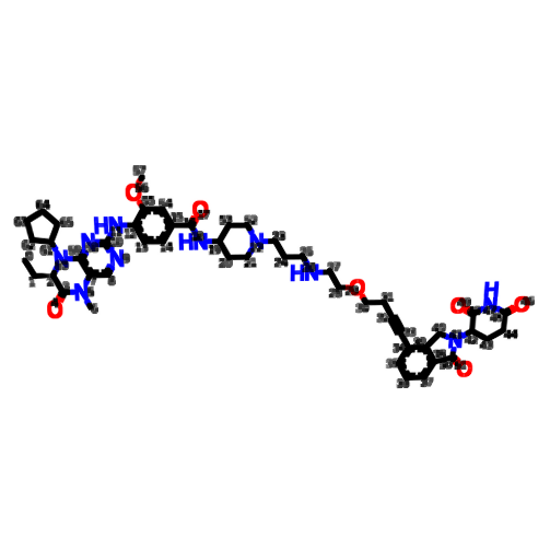 CC[C@@H]1C(=O)N(C)c2cnc(Nc3ccc(C(=O)NC4CCN(CCCNCCOCCC#Cc5cccc6c5CN(C5CCC(=O)NC5=O)C6=O)CC4)cc3OC)nc2N1C1CCCC1